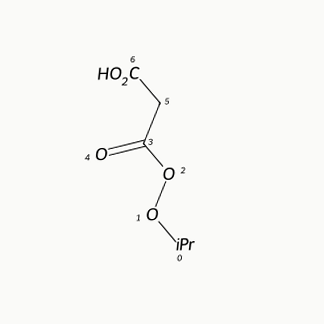 CC(C)OOC(=O)CC(=O)O